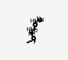 CCCCc1cc(-c2nsc(NC(=O)c3ccc(Nc4ccncn4)cc3)n2)ccc1F